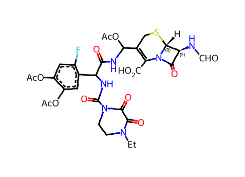 CCN1CCN(C(=O)NC(C(=O)NC(OC(C)=O)C2=C(C(=O)O)N3C(=O)[C@H](NC=O)[C@H]3SC2)c2cc(OC(C)=O)c(OC(C)=O)cc2F)C(=O)C1=O